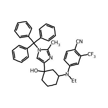 CCN(c1ccc(C#N)c(C(F)(F)F)c1)C1CCCC(O)(c2cn(C(c3ccccc3)(c3ccccc3)c3ccccc3)c(C)n2)C1